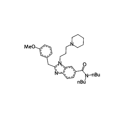 CCCCN(CCCC)C(=O)c1ccc2nc(Cc3cccc(OC)c3)n(CCCN3CCCCC3)c2c1